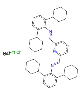 C(=Nc1c(C2CCCCC2)cccc1C1CCCCC1)c1cccc(C=Nc2c(C3CCCCC3)cccc2C2CCCCC2)n1.[Cl-].[Cl-].[Cl-].[Nd+3]